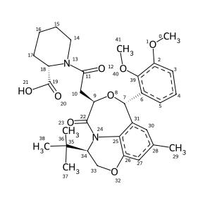 COc1cccc([C@H]2O[C@H](CC(=O)N3CCCC[C@H]3C(=O)O)C(=O)N3c4c(cc(C)cc42)OC[C@H]3C(C)(C)C)c1OC